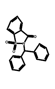 O=C1c2ccccc2S(=O)(=O)N1C(c1ccccc1)c1ccccc1